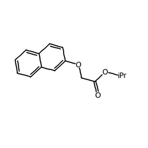 CC(C)OC(=O)COc1ccc2ccccc2c1